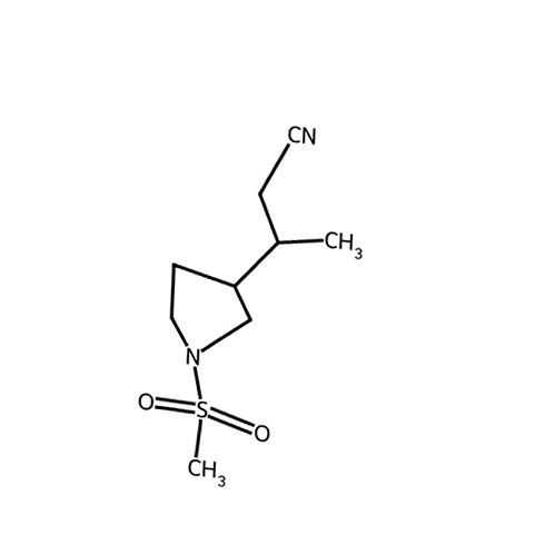 CC(CC#N)C1CCN(S(C)(=O)=O)C1